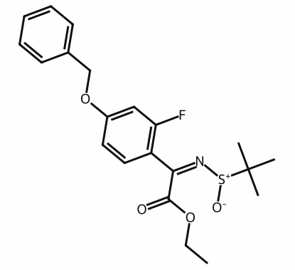 CCOC(=O)C(=N[S+]([O-])C(C)(C)C)c1ccc(OCc2ccccc2)cc1F